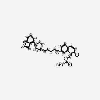 CCCC(=O)OCn1c(=O)ccc2ccc(OCCCCN3CCN(c4cccc5sccc45)CC3)cc21